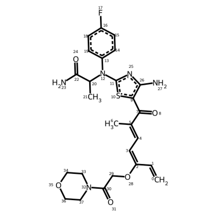 C=C/C(=C\C=C(/C)C(=O)c1sc(N(c2ccc(F)cc2)C(C)C(N)=O)nc1N)OCC(=O)N1CCOCC1